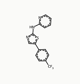 FC(F)(F)c1ccc(-c2cnc(Nc3ccccn3)s2)cc1